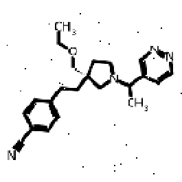 CCOC[C@]1(CCc2ccc(C#N)cc2)CCN(C(C)c2ccnnc2)C1